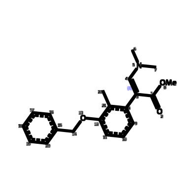 COC(=O)/C(=C\N(C)C)c1cccc(OCc2ccccc2)c1C